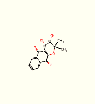 CC1(C)OC2=C(C(=O)c3ccccc3C2=O)[C@H](O)[C@@H]1O